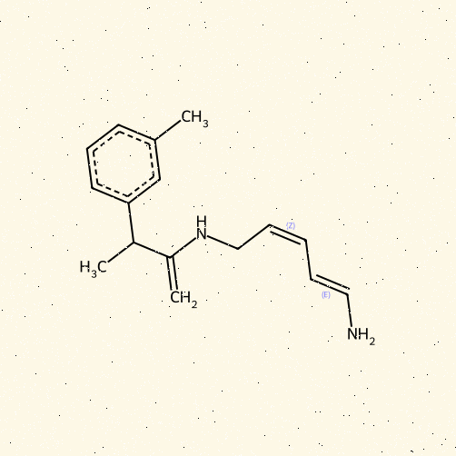 C=C(NC/C=C\C=C\N)C(C)c1cccc(C)c1